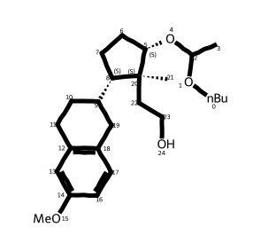 CCCCOC(C)O[C@H]1CC[C@@H](C2CCc3cc(OC)ccc3C2)[C@]1(C)CCO